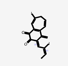 C=C1C2=C(C=C(I)CC=C2)C(=O)C(=O)/C1=C/C(I)=C\C